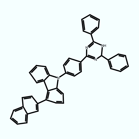 c1ccc(C2=NC(c3ccc(-n4c5ccccc5c5c(-c6ccc7ccccc7c6)cccc54)cc3)=NC(c3ccccc3)N2)cc1